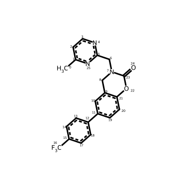 Cc1ccnc(CN2Cc3cc(-c4ccc(C(F)(F)F)cc4)ccc3OC2=O)n1